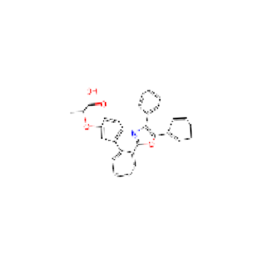 CC(Oc1cccc(-c2ccccc2-c2nc(-c3ccccc3)c(-c3ccccc3)o2)c1)C(=O)O